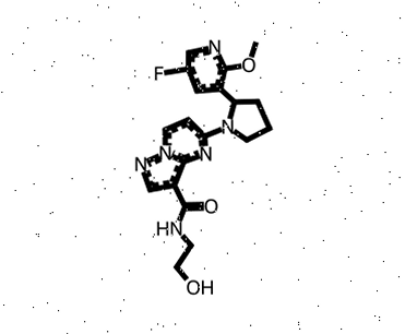 COc1ncc(F)cc1C1CCCN1c1ccn2ncc(C(=O)NCCO)c2n1